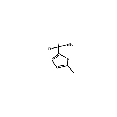 CCCCC(C)(CC)c1ccc(C)s1